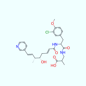 COc1ccc(CC(NC(=O)/C=C/C[C@H](O)[C@H](C)/C=C/c2cccnc2)C(=O)NCC(C)C(=O)O)cc1Cl